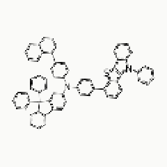 c1ccc(-n2c3ccccc3c3sc4c(-c5ccc(N(c6ccc(-c7cccc8ccccc78)cc6)c6ccc7c(c6)C(c6ccccc6)(c6ccccc6)c6ccccc6-7)cc5)cccc4c32)cc1